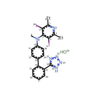 CCc1nc(CC)c(I)c(N(C)c2ccc(-c3ccccc3-c3nnn[nH]3)cc2)c1I.Cl